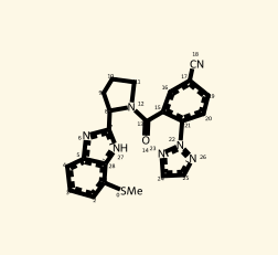 CSc1cccc2nc(C3CCCN3C(=O)c3cc(C#N)ccc3-n3nccn3)[nH]c12